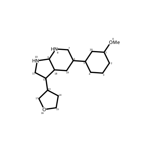 COC1CCCC(C2CNC3NCC(C4CCOC4)C3C2)C1